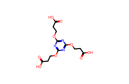 O=C(O)CCOc1nc(OCCC(=O)O)nc(OCCC(=O)O)n1